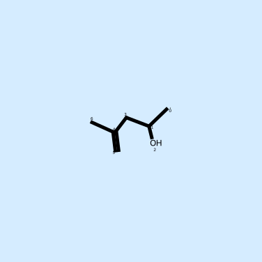 [CH2]C(O)CC(=C)C